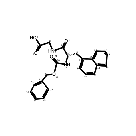 O=C(O)CNC(=O)[C@H](Cc1cccc2ccccc12)NC(=O)OCc1ccccc1